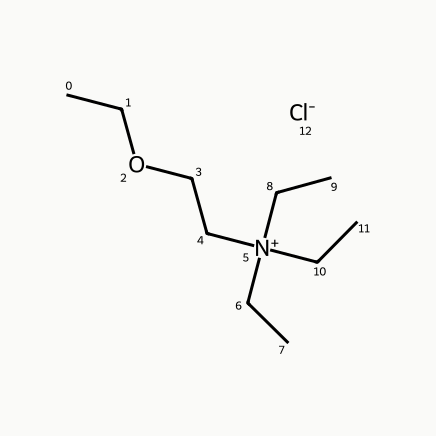 CCOCC[N+](CC)(CC)CC.[Cl-]